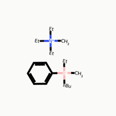 CCCC[B-](C)(CC)c1ccccc1.CC[N+](C)(CC)CC